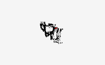 CC(C)[C@@H]1NC(=O)[C@@H](NC(=O)C(C)(C)C)Cc2ccc3c(c2)C24c5cccc(c5N[C@H]2O3)-c2cccc3[nH]cc(c23)-c2cnc(o2)-c2nc1oc24